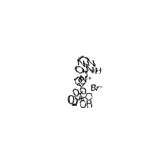 O=C(C[N+]12CCC(CC1)C(OC(=O)[C@](O)(c1ccoc1)C1CCCC1)C2)Nc1ncccn1.[Br-]